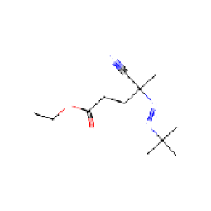 CCOC(=O)CCC(C)(C#N)/N=N/C(C)(C)C